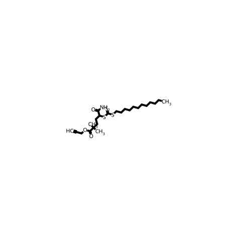 C#CCOC(=O)C(C)(C)CCC(SC(=S)SCCCCCCCCCCCC)C(N)=O